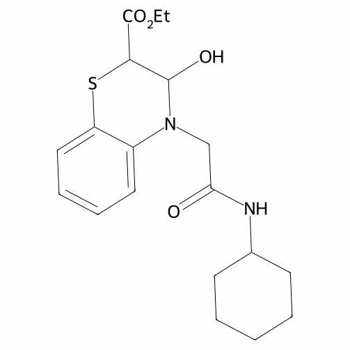 CCOC(=O)C1Sc2ccccc2N(CC(=O)NC2CCCCC2)C1O